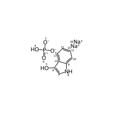 O=P([O-])([O-])O.Oc1c[nH]c2ccccc12.[Na+].[Na+]